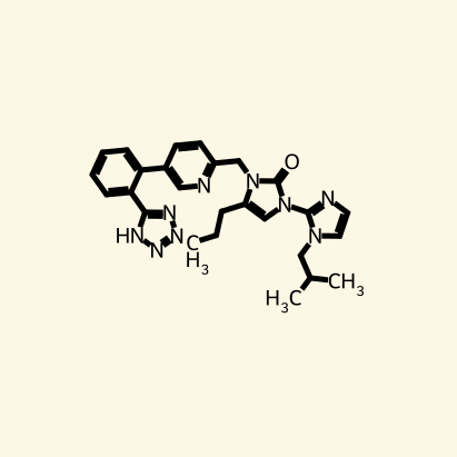 CCCc1cn(-c2nccn2CC(C)C)c(=O)n1Cc1ccc(-c2ccccc2-c2nnn[nH]2)cn1